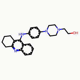 OCCN1CCN(c2ccc(Nc3c4c(nc5ccccc35)CCCC4)cc2)CC1